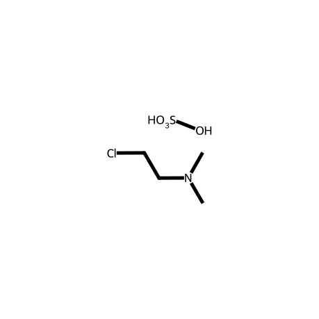 CN(C)CCCl.O=S(=O)(O)O